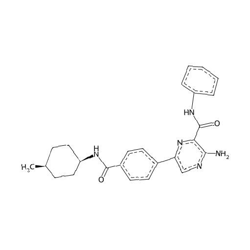 C[C@H]1CC[C@@H](NC(=O)c2ccc(-c3cnc(N)c(C(=O)Nc4ccccc4)n3)cc2)CC1